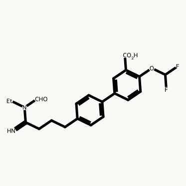 CCN(C=O)C(=N)CCCc1ccc(-c2ccc(OC(F)F)c(C(=O)O)c2)cc1